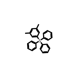 Cc1cc(C)cc(S(c2ccccc2)(c2ccccc2)c2ccccc2)c1